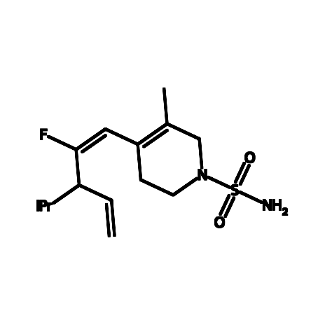 C=CC(/C(F)=C\C1=C(C)CN(S(N)(=O)=O)CC1)C(C)C